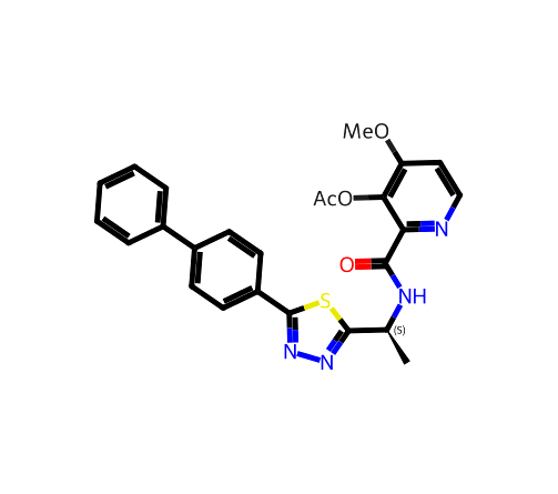 COc1ccnc(C(=O)N[C@@H](C)c2nnc(-c3ccc(-c4ccccc4)cc3)s2)c1OC(C)=O